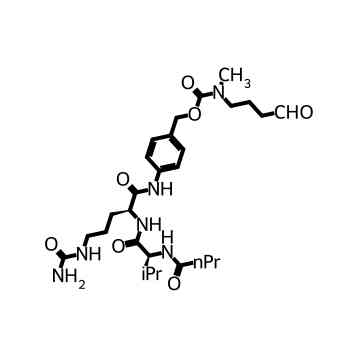 CCCC(=O)N[C@H](C(=O)N[C@@H](CCCNC(N)=O)C(=O)Nc1ccc(COC(=O)N(C)CCCC=O)cc1)C(C)C